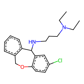 CCN(CC)CCCNC1c2ccccc2COc2ccc(Cl)cc21